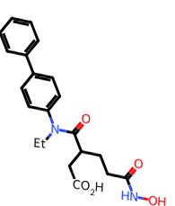 CCN(C(=O)C(CCC(=O)NO)CC(=O)O)c1ccc(-c2ccccc2)cc1